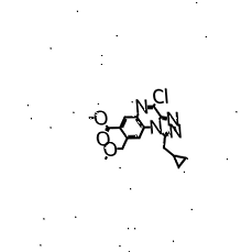 COCc1cc2c(cc1C(=O)OC)nc(Cl)c1nnc(CC3CC3)n12